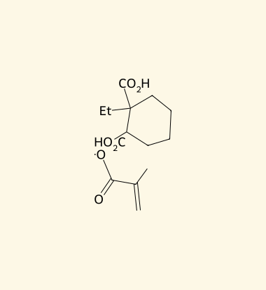 C=C(C)C([O])=O.CCC1(C(=O)O)CCCCC1C(=O)O